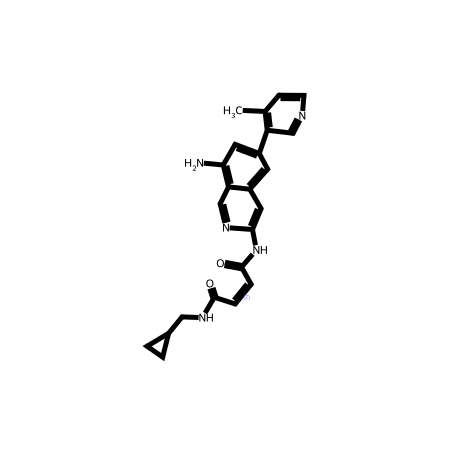 Cc1ccncc1-c1cc(N)c2cnc(NC(=O)/C=C\C(=O)NCC3CC3)cc2c1